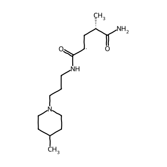 CC1CCN(CCCNC(=O)[CH]C[C@H](C)C(N)=O)CC1